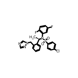 C[C@H](c1ccccc1Cn1cncn1)N(c1cc(F)ccc1F)S(=O)(=O)c1ccc(Cl)cc1